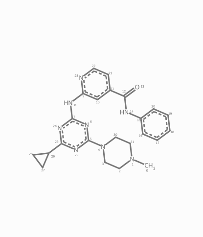 CN1CCN(c2nc(Nc3cc(C(=O)Nc4ccccc4)ccn3)nc(C3CC3)n2)CC1